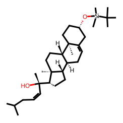 CC(C)C/C=C\[C@](C)(O)[C@H]1CC[C@H]2[C@@H]3CC=C4C[C@@H](O[Si](C)(C)C(C)(C)C)CC[C@]4(C)[C@H]3CC[C@@]21C